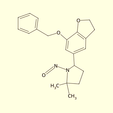 CC1(C)CCC(c2cc3c(c(OCc4ccccc4)c2)OCC3)N1N=O